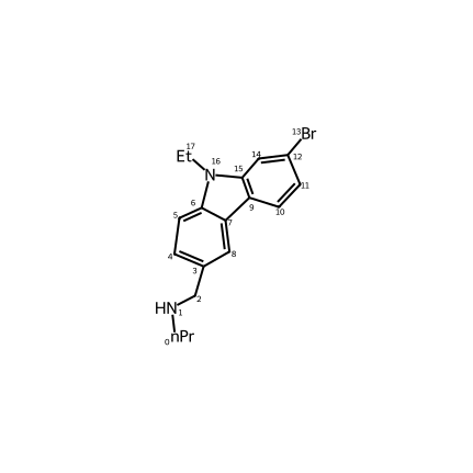 CCCNCc1ccc2c(c1)c1ccc(Br)cc1n2CC